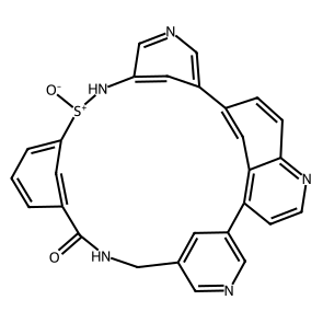 O=C1NCc2cncc(c2)-c2ccnc3ccc(cc23)-c2cncc(c2)N[S+]([O-])c2cccc1c2